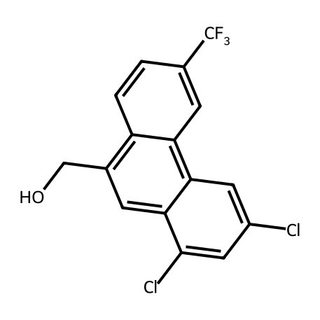 OCc1cc2c(Cl)cc(Cl)cc2c2cc(C(F)(F)F)ccc12